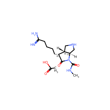 CC(=O)O.CNC(=O)N1C(=O)[C@H](CCCCC(=N)N)[C@@H]2CNC[C@H]21